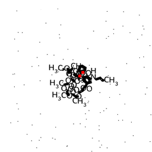 CCCCNc1cc(C(=O)OCC(=O)O[C@@H](C)C(=O)O[C@@H](C)C(=O)O[C@@H](C)C(=O)O[C@@H](C)C(=O)O[C@@H](C)C(=O)O[C@@H](C)C(=O)OCC)cc(S(N)(=O)=O)c1Oc1ccccc1